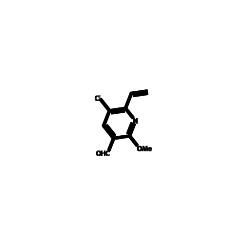 C=Cc1nc(OC)c(C=O)cc1Cl